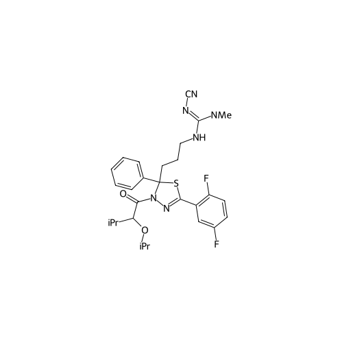 CNC(=NC#N)NCCCC1(c2ccccc2)SC(c2cc(F)ccc2F)=NN1C(=O)C(OC(C)C)C(C)C